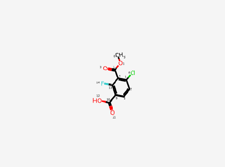 COC(=O)c1c(Cl)ccc(C(=O)O)c1F